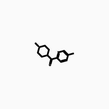 Cc1ccc(C(=O)C2CCN(C)CC2)nc1